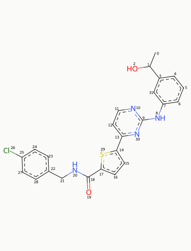 CC(O)c1cccc(Nc2nccc(-c3ccc(C(=O)NCc4ccc(Cl)cc4)s3)n2)c1